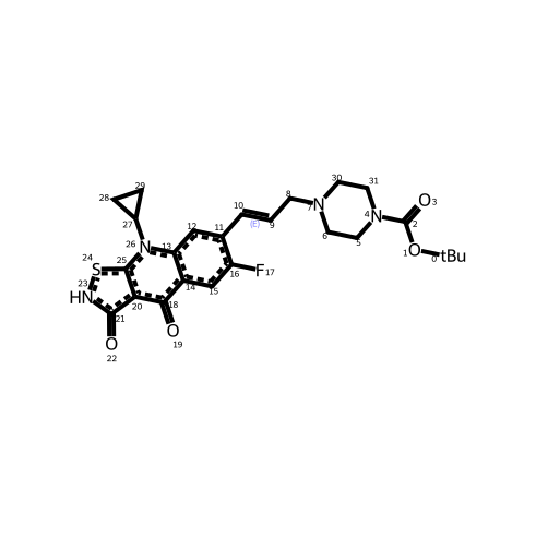 CC(C)(C)OC(=O)N1CCN(C/C=C/c2cc3c(cc2F)c(=O)c2c(=O)[nH]sc2n3C2CC2)CC1